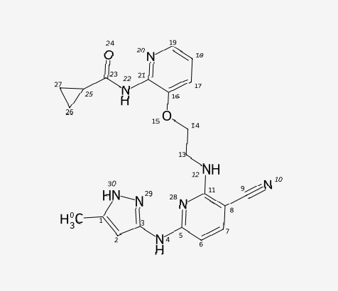 Cc1cc(Nc2ccc(C#N)c(NCCOc3cccnc3NC(=O)C3CC3)n2)n[nH]1